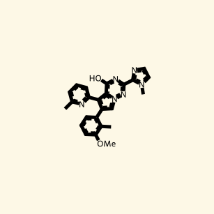 COc1cccc(-c2cn3nc(-c4nccn4C)nc(O)c3c2-c2cccc(C)n2)c1C